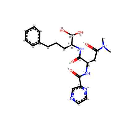 CN(C)C(=O)C[C@@H](NC(=O)c1cnccn1)C(=O)N[C@@H](CCCc1ccccc1)B(O)O